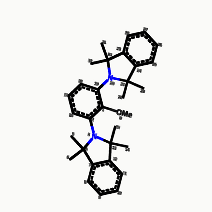 COc1c(N2C(C)(C)c3ccccc3C2(C)C)cccc1N1C(C)(C)c2ccccc2C1(C)C